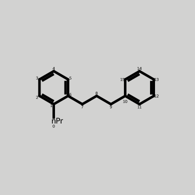 CCCc1ccccc1CCCc1ccccc1